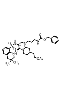 CC(=O)OCCC1CCN(C(=O)[C@H](CNCCCNC(=O)OCc2ccccc2)NS(=O)(=O)c2cccc3c2NCC(C)(C)C3)CC1